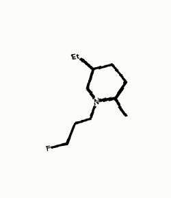 CCC1CCC(C)N(CCCF)C1